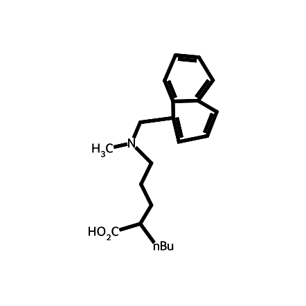 CCCCC(CCCN(C)Cc1cccc2ccccc12)C(=O)O